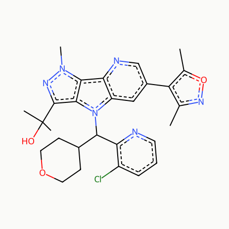 Cc1noc(C)c1-c1cnc2c3c(c(C(C)(C)O)nn3C)n(C(c3ncccc3Cl)C3CCOCC3)c2c1